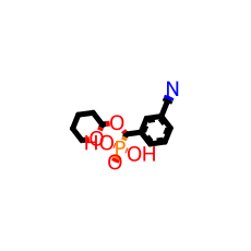 N#Cc1cccc(C(OC2CCCCO2)P(=O)(O)O)c1